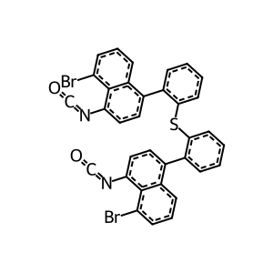 O=C=Nc1ccc(-c2ccccc2Sc2ccccc2-c2ccc(N=C=O)c3c(Br)cccc23)c2cccc(Br)c12